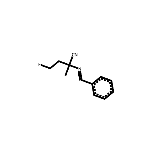 CC(C#N)(CCF)N=Cc1ccccc1